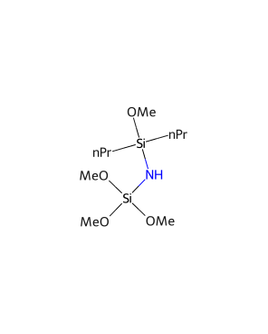 CCC[Si](CCC)(N[Si](OC)(OC)OC)OC